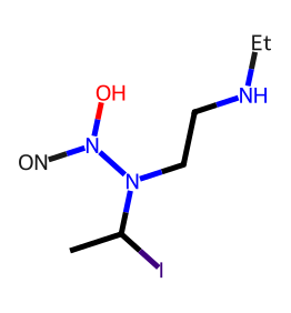 CCNCCN(C(C)I)N(O)N=O